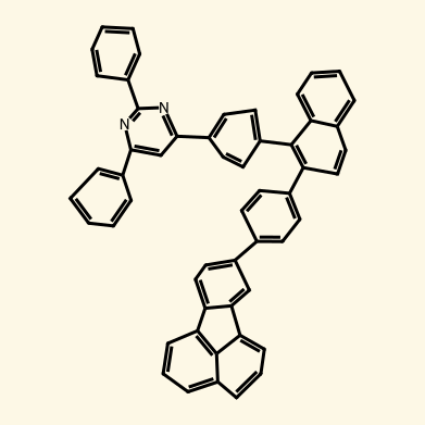 c1ccc(-c2cc(-c3ccc(-c4c(-c5ccc(-c6ccc7c(c6)-c6cccc8cccc-7c68)cc5)ccc5ccccc45)cc3)nc(-c3ccccc3)n2)cc1